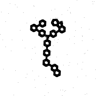 c1ccc(-c2ccccc2-c2ccc(N(c3ccc(-c4ccc(-c5cccc(-c6ccc7ccccc7c6)c5)cc4)cc3)c3ccc(-c4cccc5sc6ccccc6c45)cc3)cc2)cc1